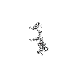 CCC(C)(C)C(=O)SCCO[PH](=O)OCC1OC(n2cnc(NC(c3ccccc3)(c3ccccc3)c3ccc(OC)cc3)nc2=O)C2OC(OC)OC12